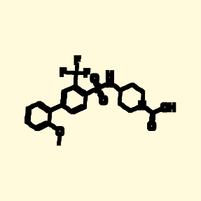 COc1ccccc1-c1ccc(S(=O)(=O)NC2CCN(C(=O)O)CC2)c(C(F)(F)F)c1